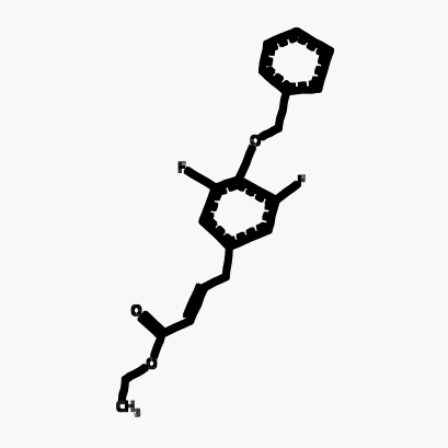 CCOC(=O)/C=C/Cc1cc(F)c(OCc2ccccc2)c(F)c1